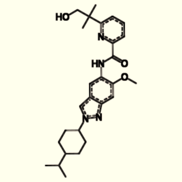 COc1cc2nn(C3CCC(C(C)C)CC3)cc2cc1NC(=O)c1cccc(C(C)(C)CO)n1